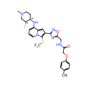 CN1CC[C@@H](Nc2cccn3c(SC(F)(F)F)c(-c4noc(CNC(=O)COc5ccc(C#N)cc5)n4)cc23)[C@@H](F)C1